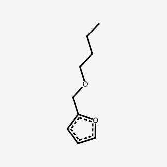 CCCCOCc1ccco1